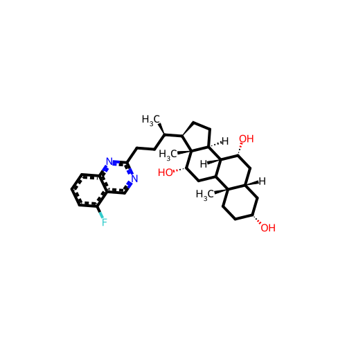 C[C@H](CCc1ncc2c(F)cccc2n1)[C@H]1CC[C@H]2[C@H]3C(C[C@H](O)[C@]12C)[C@@]1(C)CC[C@@H](O)C[C@H]1C[C@H]3O